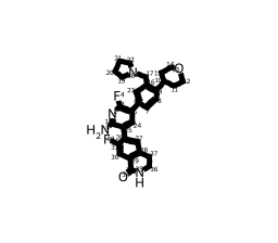 Nc1nc(F)c(-c2ccc(C3CCOCC3)c(CN3CCCC3)c2)cc1-c1cc2c(cc1F)C(=O)NCC2